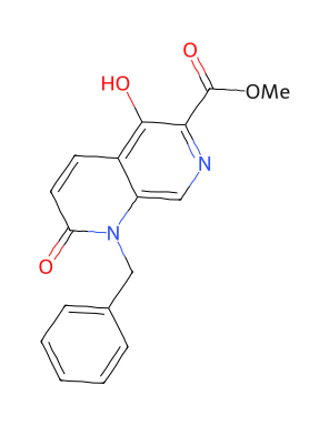 COC(=O)c1ncc2c(ccc(=O)n2Cc2ccccc2)c1O